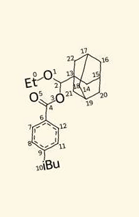 CCOC(OC(=O)c1ccc(C(C)CC)cc1)C12CC3CC(CC(C3)C1)C2